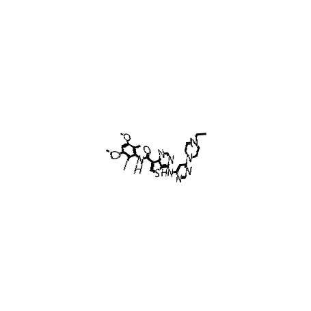 CCN1CCN(c2cc(Nc3ncnc4c(C(=O)Nc5c(C)c(OC)cc(OC)c5I)csc34)ncn2)CC1